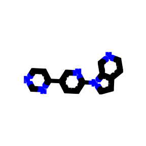 c1cc(-c2ccc(-n3ccc4ccncc43)nc2)ncn1